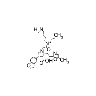 CCCCN(CCCCN)C(=O)CN1C[C@H](c2ccc3c(c2)CCO3)[C@@H](C(=O)O)[C@@H]1CCc1ncc(C)o1